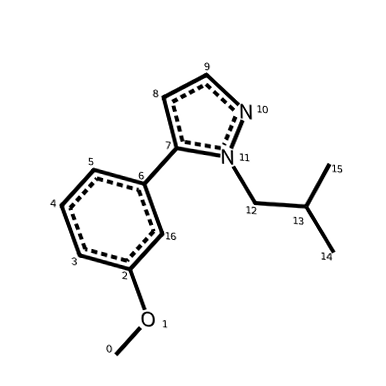 COc1cccc(-c2ccnn2CC(C)C)c1